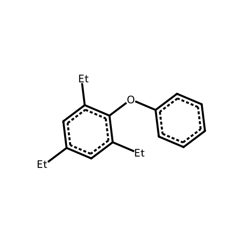 CCc1cc(CC)c(Oc2ccccc2)c(CC)c1